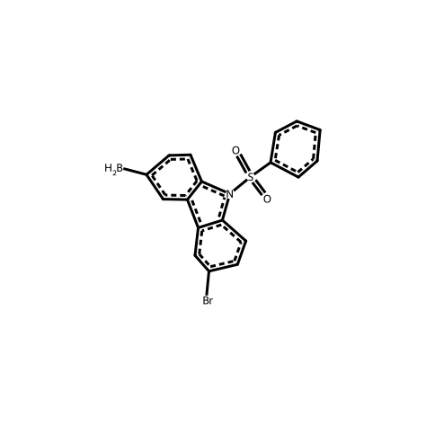 Bc1ccc2c(c1)c1cc(Br)ccc1n2S(=O)(=O)c1ccccc1